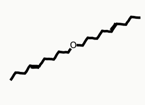 CCCC=CCCCCOCCCCC=CCCC